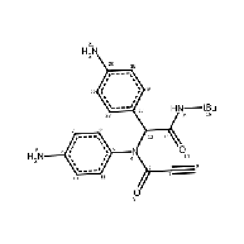 C#CC(=O)N(c1ccc(N)cc1)C(C(=O)NC(C)(C)C)c1ccc(N)cc1